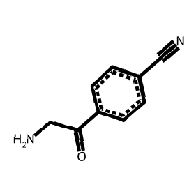 N#Cc1ccc(C(=O)CN)cc1